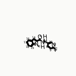 Cn1c(C(=O)NNc2ccc(F)nc2)cc2ccccc21